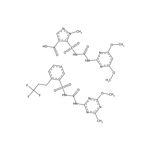 COc1cc(OC)nc(NC(=O)NS(=O)(=O)c2c(C(=O)O)cnn2C)n1.COc1nc(C)nc(NC(=O)NS(=O)(=O)c2ccccc2CCC(F)(F)F)n1